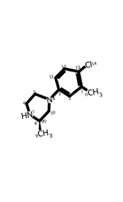 Cc1cc(N2CCN[C@H](C)C2)ccc1Cl